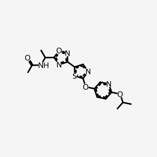 CC(=O)NC(C)c1nc(-c2cnc(Oc3ccc(OC(C)C)nc3)s2)no1